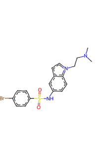 CN(C)CCn1ccc2cc(NS(=O)(=O)c3ccc(Br)cc3)ccc21